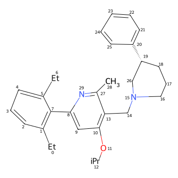 CCc1cccc(CC)c1-c1cc(OC(C)C)c(CN2CCC[C@@H](c3ccccc3)C2)c(C)n1